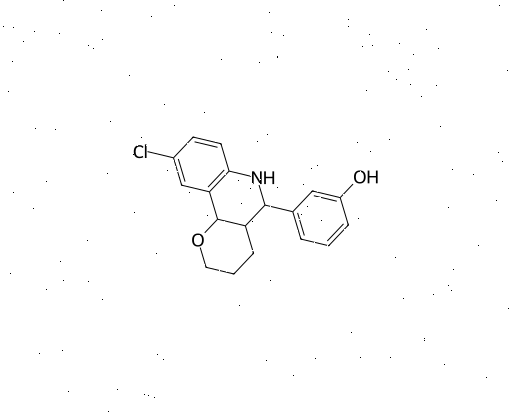 Oc1cccc(C2Nc3ccc(Cl)cc3C3OCCCC23)c1